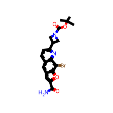 CC(C)(C)OC(=O)N1CC(c2ccc3cc4cc(C(N)=O)oc4c(Br)c3n2)C1